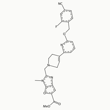 COC(=O)c1cc2nc(CN3CC=C(c4cccc(OCc5ccc(C#N)cc5F)n4)CC3)n(C)c2o1